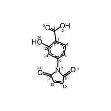 O=C(O)c1ccc(N2C(=O)C=CC2=O)cc1O